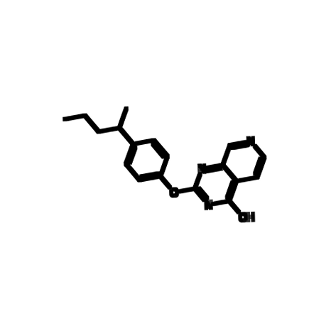 CCCC(C)c1ccc(Oc2nc(O)c3ccncc3n2)cc1